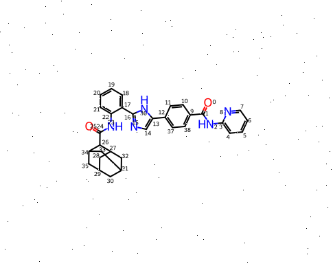 O=C(Nc1ccccn1)c1ccc(-c2cnc(-c3ccccc3NC(=O)C3C4CC5CC(C4)CC3C5)[nH]2)cc1